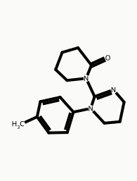 Cc1ccc(N2CCCN=C2N2CCCCC2=O)cc1